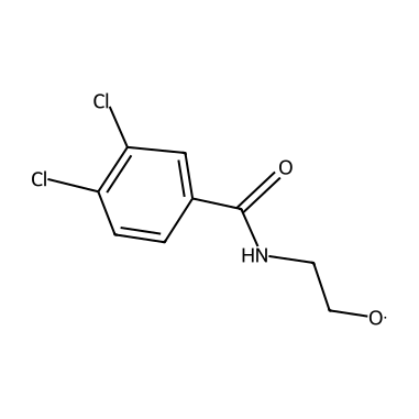 [O]CCNC(=O)c1ccc(Cl)c(Cl)c1